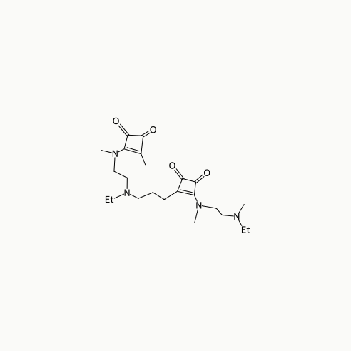 CCN(C)CCN(C)c1c(CCCN(CC)CCN(C)c2c(C)c(=O)c2=O)c(=O)c1=O